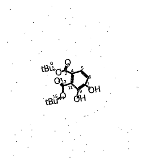 CC(C)(C)OC(=O)c1ccc(O)c(O)c1C(=O)OC(C)(C)C